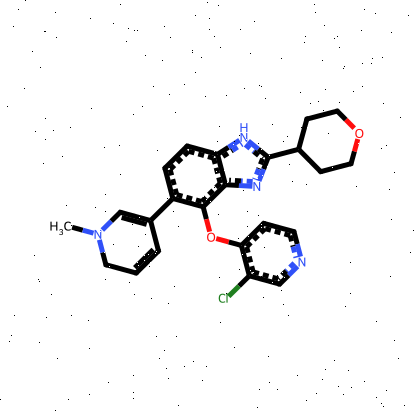 CN1C=C(c2ccc3[nH]c(C4CCOCC4)nc3c2Oc2ccncc2Cl)C=CC1